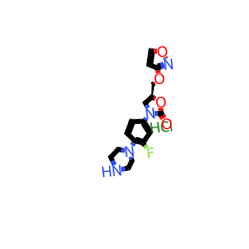 Cl.O=C1O[C@H](COc2ccon2)CN1c1ccc(N2CCNCC2)c(F)c1